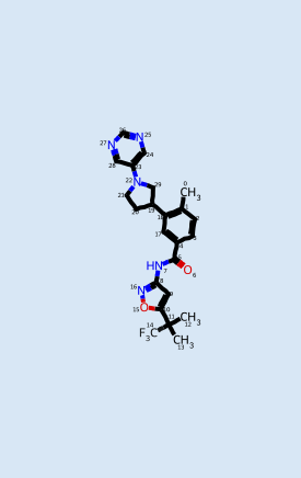 Cc1ccc(C(=O)Nc2cc(C(C)(C)C(F)(F)F)on2)cc1C1CCN(c2cncnc2)C1